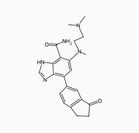 CN(C)CCN(C)c1cc(-c2ccc3c(c2)C(=O)CC3)c2nc[nH]c2c1C(N)=O